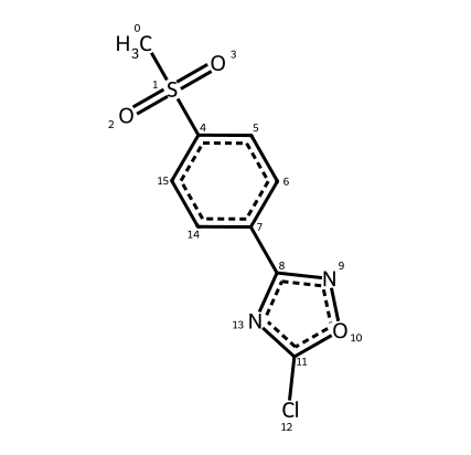 CS(=O)(=O)c1ccc(-c2noc(Cl)n2)cc1